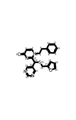 O=c1ccn(CCc2ccccc2)c(C(SCc2ccco2)c2cncnc2)n1